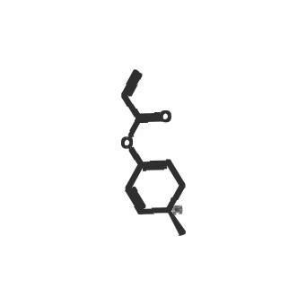 C=CC(=O)OC1=CC[C@@H](C)C=C1